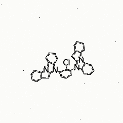 Clc1c(-n2c3ccccc3n3c4ccccc4cc23)cccc1-n1c2ccccc2n2c3ccccc3cc12